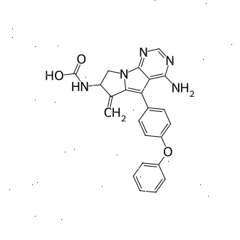 C=C1c2c(-c3ccc(Oc4ccccc4)cc3)c3c(N)ncnc3n2CC1NC(=O)O